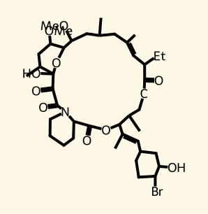 CCC1/C=C(\C)CC(C)CC(OC)C2OC(O)(C(=O)C(=O)N3CCCCC3C(=O)OC(C(C)=CC3CCC(Br)C(O)C3)C(C)CCC1=O)C(C)CC2OC